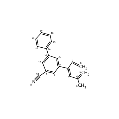 C=C/C(=C\C(=C)C)c1cc(C#N)cc(-c2ccccc2)c1